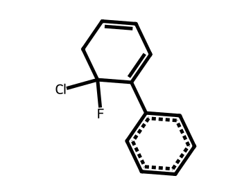 FC1(Cl)CC=CC=C1c1ccccc1